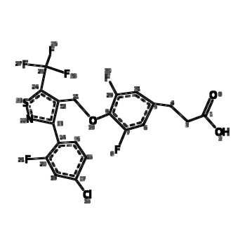 O=C(O)CCc1cc(F)c(OCc2c(-c3ccc(Cl)cc3F)nsc2C(F)(F)F)c(F)c1